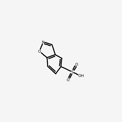 O=S(=O)(O)c1ccc2oncc2c1